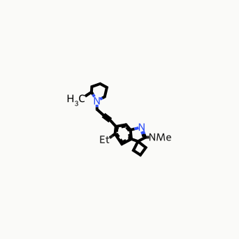 CCc1cc2c(cc1C#CCN1CCCCC1C)N=C(NC)C21CCC1